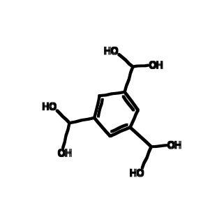 OC(O)c1cc(C(O)O)cc(C(O)O)c1